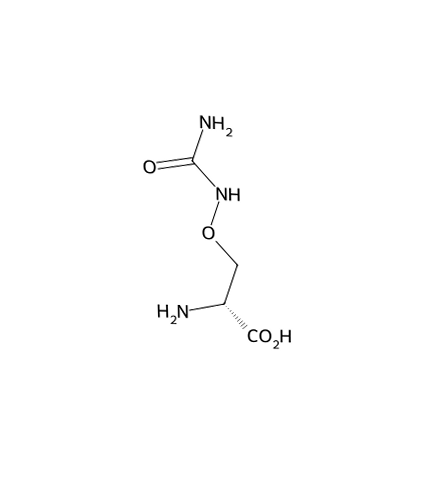 NC(=O)NOC[C@@H](N)C(=O)O